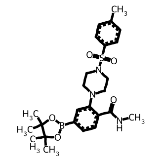 CNC(=O)c1ccc(B2OC(C)(C)C(C)(C)O2)cc1N1CCN(S(=O)(=O)c2ccc(C)cc2)CC1